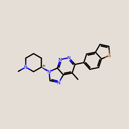 Cc1c(-c2ccc3sccc3c2)nnc2c1ncn2[C@@H]1CCCN(C)C1